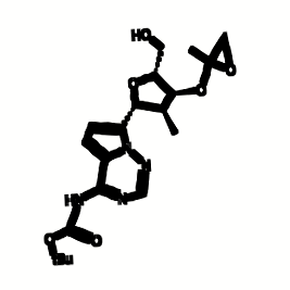 C[C@@H]1[C@H](OC2(C)CO2)[C@@H](CO)O[C@H]1c1ccc2c(NC(=O)OC(C)(C)C)ncnn12